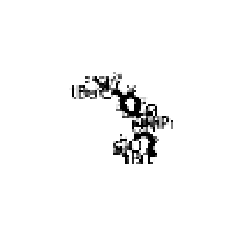 C=CCC(CO[Si](C)(C)C(C)(C)C)N(C(C)C)S(=O)(=O)c1ccc([C@H](C)O[Si](C)(C)C(C)(C)C)cc1